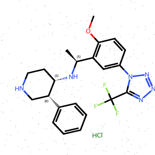 COc1ccc(-n2nnnc2C(F)(F)F)cc1[C@H](C)N[C@H]1CCNC[C@H]1c1ccccc1.Cl